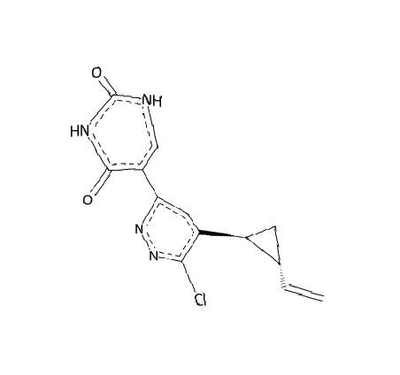 C=C[C@H]1C[C@@H]1c1cc(-c2c[nH]c(=O)[nH]c2=O)nnc1Cl